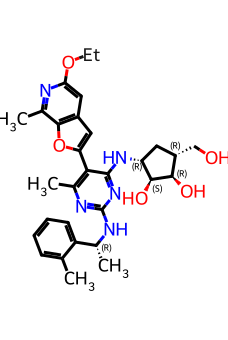 CCOc1cc2cc(-c3c(C)nc(N[C@H](C)c4ccccc4C)nc3N[C@@H]3C[C@H](CO)[C@@H](O)[C@H]3O)oc2c(C)n1